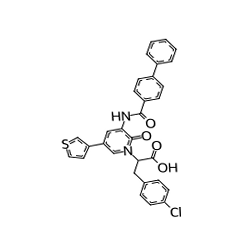 O=C(Nc1cc(-c2ccsc2)cn(C(Cc2ccc(Cl)cc2)C(=O)O)c1=O)c1ccc(-c2ccccc2)cc1